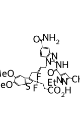 CCn1nc(C)cc1C(=O)Nc1nc2cc(C(N)=O)ccc2n1C/C=C/Cc1c(C(F)(F)CCC(=O)O)sc2cc(OC)c(OC)cc12